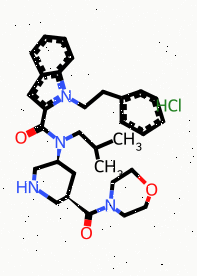 CC(C)CN(C(=O)c1cc2ccccc2n1CCc1ccccc1)[C@@H]1CNC[C@H](C(=O)N2CCOCC2)C1.Cl